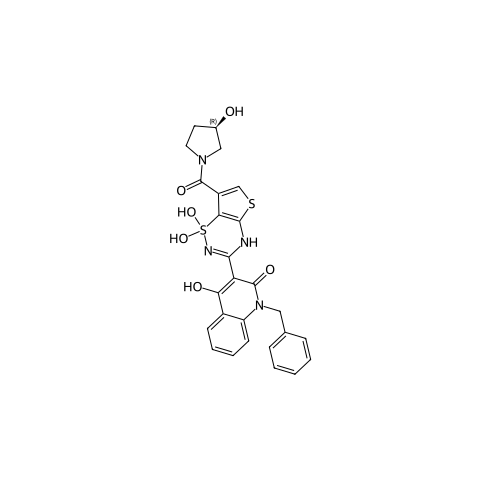 O=C(c1csc2c1S(O)(O)N=C(c1c(O)c3ccccc3n(Cc3ccccc3)c1=O)N2)N1CC[C@@H](O)C1